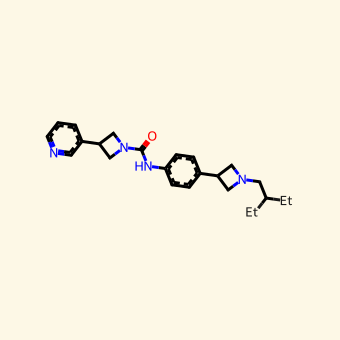 CCC(CC)CN1CC(c2ccc(NC(=O)N3CC(c4cccnc4)C3)cc2)C1